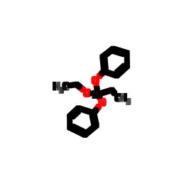 CCO[Si](CC)(Oc1ccccc1)Oc1ccccc1